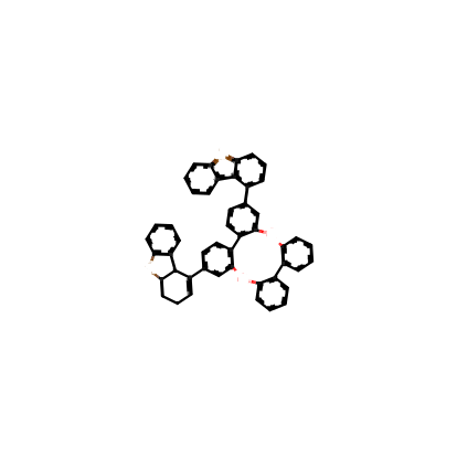 C1=C(c2ccc3c(c2)Oc2ccccc2-c2ccccc2Oc2cc(-c4cccc5sc6ccccc6c45)ccc2-3)C2c3ccccc3SC2CC1